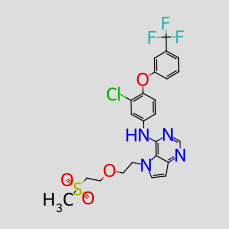 CS(=O)(=O)CCOCCn1ccc2ncnc(Nc3ccc(Oc4cccc(C(F)(F)F)c4)c(Cl)c3)c21